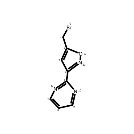 BrCc1cc(-c2ncccn2)no1